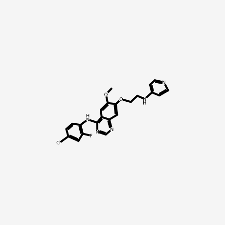 COc1cc2c(Nc3ccc(Cl)cc3F)ncnc2cc1OCCNc1ccncc1